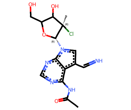 CC(=O)Nc1ncnc2c1c(C=N)cn2[C@@H]1OC(CO)C(O)[C@@]1(C)Cl